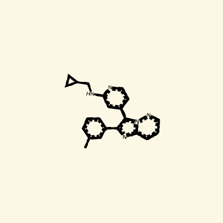 Cc1cccc(-c2nc3cccnn3c2-c2ccnc(NCC3CC3)c2)c1